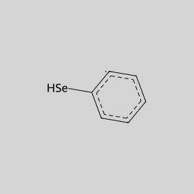 [SeH]c1[c]cccc1